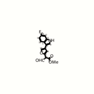 COC(=O)C(C=O)c1cc(-c2c[nH]c3cc(F)ccc23)co1